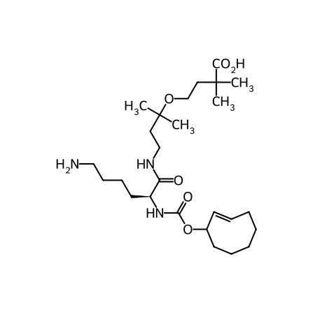 CC(C)(CCNC(=O)[C@H](CCCCN)NC(=O)OC1/C=C/CCCCC1)OCCC(C)(C)C(=O)O